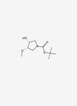 CO[C@H]1CN(C(=O)OC(C)(C)C)C[C@H]1O